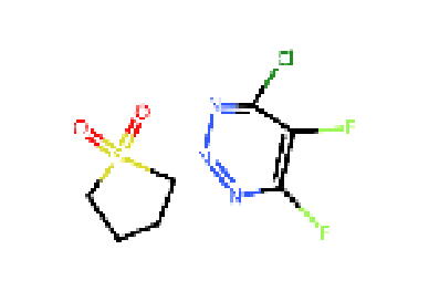 Fc1nnnc(Cl)c1F.O=S1(=O)CCCC1